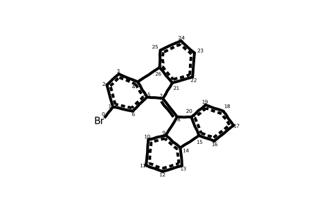 Brc1ccc2c(c1)C(=C1c3ccccc3-c3ccccc31)c1ccccc1-2